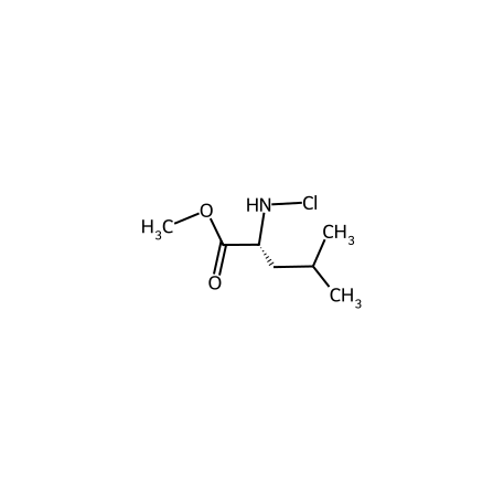 COC(=O)[C@@H](CC(C)C)NCl